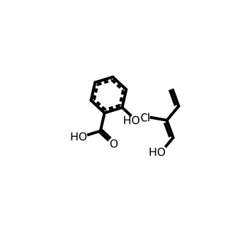 C=CC(Cl)=CO.O=C(O)c1ccccc1O